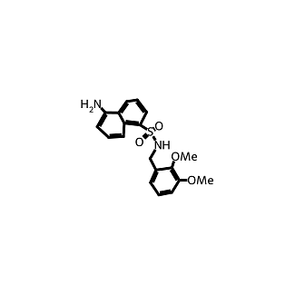 COc1cccc(CNS(=O)(=O)c2cccc3c(N)cccc23)c1OC